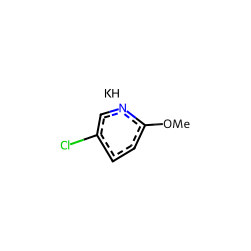 COc1ccc(Cl)cn1.[KH]